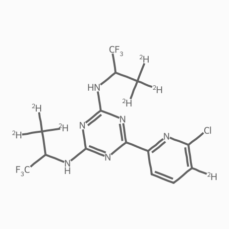 [2H]c1ccc(-c2nc(NC(C([2H])([2H])[2H])C(F)(F)F)nc(NC(C([2H])([2H])[2H])C(F)(F)F)n2)nc1Cl